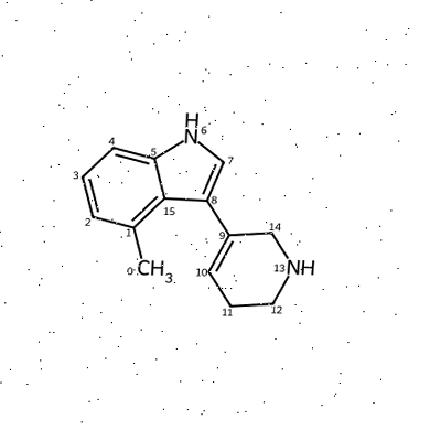 Cc1cccc2[nH]cc(C3=CCCNC3)c12